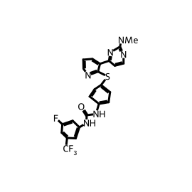 CNc1nccc(-c2cccnc2Sc2ccc(NC(=O)Nc3cc(F)cc(C(F)(F)F)c3)cc2)n1